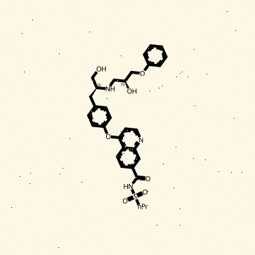 CCCS(=O)(=O)NC(=O)c1ccc2c(Oc3ccc(C[C@@H](CO)NC[C@H](O)COc4ccccc4)cc3)ccnc2c1